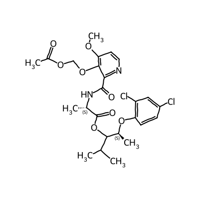 COc1ccnc(C(=O)N[C@@H](C)C(=O)OC(C(C)C)[C@H](C)Oc2ccc(Cl)cc2Cl)c1OCOC(C)=O